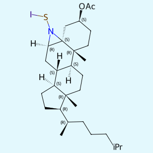 CC(=O)O[C@H]1CC[C@]2(C)[C@H]3CC[C@]4(C)[C@@H]([C@H](C)CCCC(C)C)CC[C@H]4[C@@H]3C[C@H]3N(SI)[C@]32C1